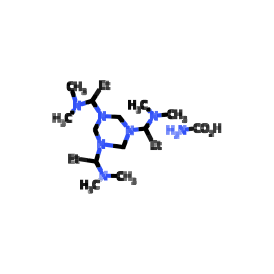 CCC(N(C)C)N1CN(C(CC)N(C)C)CN(C(CC)N(C)C)C1.NC(=O)O